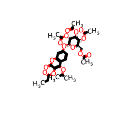 CCC(=O)Oc1c(OC(C)C)c2ccc(O[C@@H]3O[C@H](COC(C)=O)[C@@H](OC(C)=O)[C@H](OC(C)=O)[C@H]3OC(C)=O)cc2oc1=O